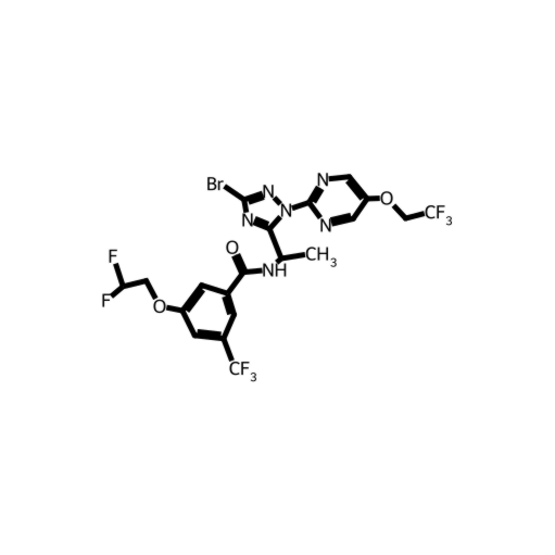 CC(NC(=O)c1cc(OCC(F)F)cc(C(F)(F)F)c1)c1nc(Br)nn1-c1ncc(OCC(F)(F)F)cn1